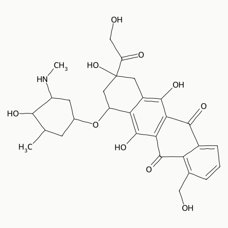 CNC1CC(OC2CC(O)(C(=O)CO)Cc3c(O)c4c(c(O)c32)C(=O)c2c(CO)cccc2C4=O)CC(C)C1O